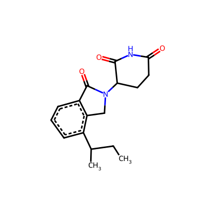 CCC(C)c1cccc2c1CN(C1CCC(=O)NC1=O)C2=O